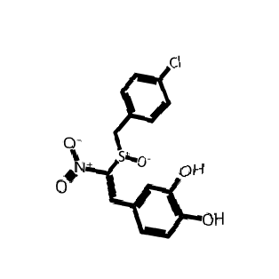 O=[N+]([O-])C(=Cc1ccc(O)c(O)c1)[S+]([O-])Cc1ccc(Cl)cc1